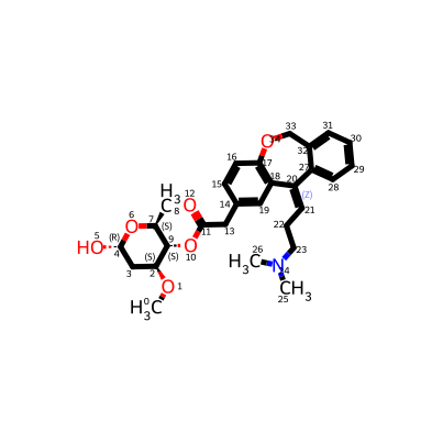 CO[C@H]1C[C@H](O)O[C@@H](C)[C@@H]1OC(=O)Cc1ccc2c(c1)/C(=C\CCN(C)C)c1ccccc1CO2